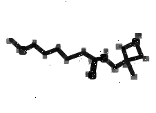 COCCCCCC(=O)OCC1(C)COC1